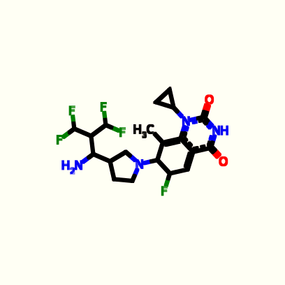 CC1=c2c(c(=O)[nH]c(=O)n2C2CC2)=CC(F)C1N1CCC(C(N)C(C(F)F)C(F)F)C1